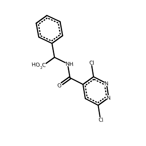 O=C(NC(C(=O)O)c1ccccc1)c1cc(Cl)nnc1Cl